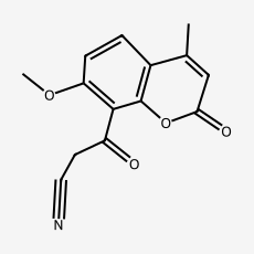 COc1ccc2c(C)cc(=O)oc2c1C(=O)CC#N